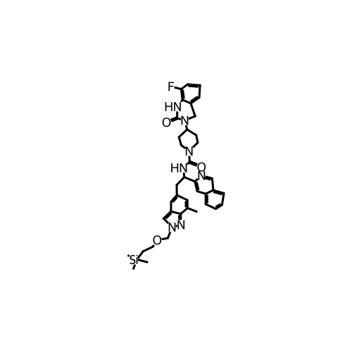 Cc1cc(CC(NC(=O)N2CCC(N3Cc4cccc(F)c4NC3=O)CC2)c2cc3ccccc3cn2)cc2cn(COCC[Si](C)(C)C)nc12